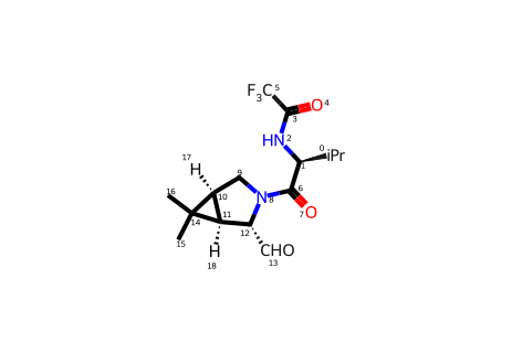 CC(C)[C@H](NC(=O)C(F)(F)F)C(=O)N1C[C@H]2[C@@H]([C@H]1C=O)C2(C)C